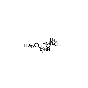 CCNC1(CC)C=CC(Nc2ncc(-c3cccc(OC)c3)o2)=CN1